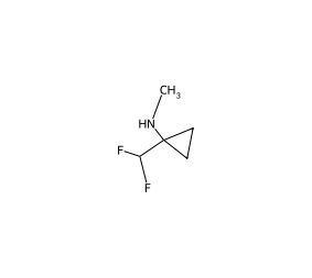 CNC1(C(F)F)CC1